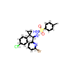 Cc1ccc(S(=O)(=O)N/N=C(/c2cccc(Br)n2)C2(c3ccc(Cl)cc3)CC2)cc1